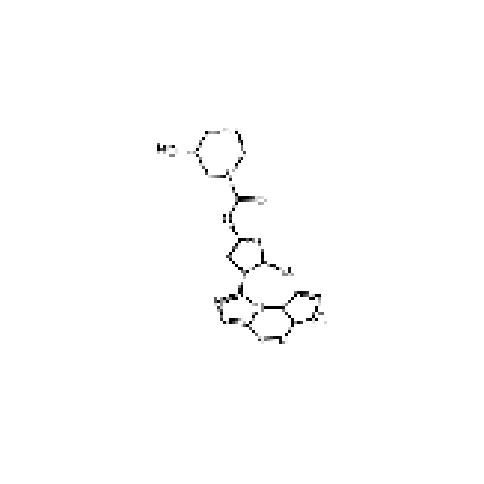 CC[C@@H]1C[C@H](OC(=O)N2CCC[C@@H](O)C2)C[C@@H]1c1nnc2n1C1C=CNC1N=C2